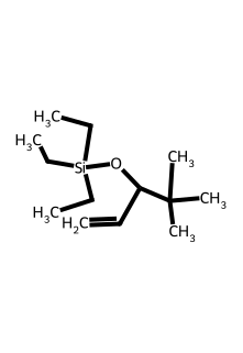 C=CC(O[Si](CC)(CC)CC)C(C)(C)C